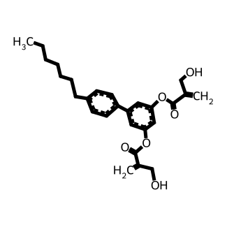 C=C(CO)C(=O)Oc1cc(OC(=O)C(=C)CO)cc(-c2ccc(CCCCCCC)cc2)c1